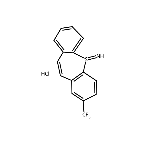 Cl.N=S1c2ccccc2C=Cc2cc(C(F)(F)F)ccc21